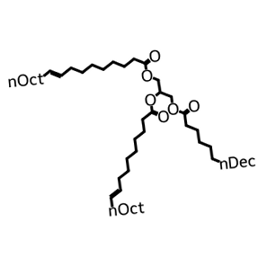 CCCCCCCCC=CCCCCCCCC(=O)OCC(COC(=O)CCCCCCCCCCCCCCC)OC(=O)CCCCCCCC=CCCCCCCCC